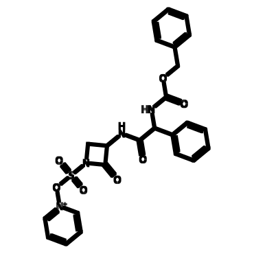 O=C(NC(C(=O)NC1CN(S(=O)(=O)O[n+]2ccccc2)C1=O)c1ccccc1)OCc1ccccc1